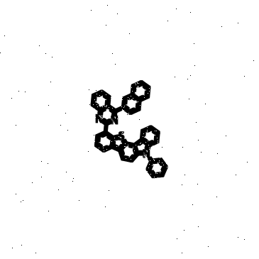 c1ccc(-n2c3ccccc3c3c4sc5c(-c6nc(-c7ccc8ccccc8c7)c7ccccc7n6)cccc5c4ccc32)cc1